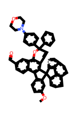 COc1ccc2c(c1)C1(c3c4c(c5cc(C=O)ccc5c3-2)OC(c2ccccc2)(c2ccc(N3CCOCC3)cc2)C=C4)c2cccc3ccc4cccc1c4c23